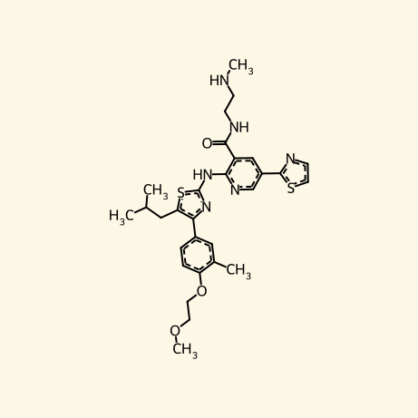 CNCCNC(=O)c1cc(-c2nccs2)cnc1Nc1nc(-c2ccc(OCCOC)c(C)c2)c(CC(C)C)s1